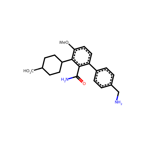 COc1ccc(-c2ccc(CN)cc2)c(C(N)=O)c1C1CCC(C(=O)O)CC1